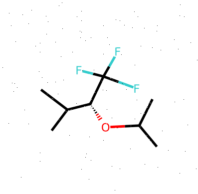 CC(C)O[C@H](C(C)C)C(F)(F)F